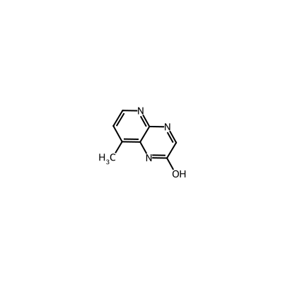 Cc1ccnc2ncc(O)nc12